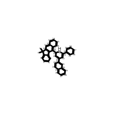 CC1(C)c2ccccc2-c2c1cc1ccccc1c2C1C=C(c2ccc3ccccc3c2)C=C(c2ccccc2)N1